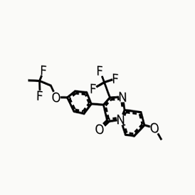 COc1ccn2c(=O)c(-c3ccc(OCC(C)(F)F)cc3)c(C(F)(F)F)nc2c1